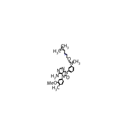 COc1cc(-n2c(=O)n(-c3cccc(N(C)COC/C=C/CN(C)C)c3)c3ncnc(N)c32)ccc1C